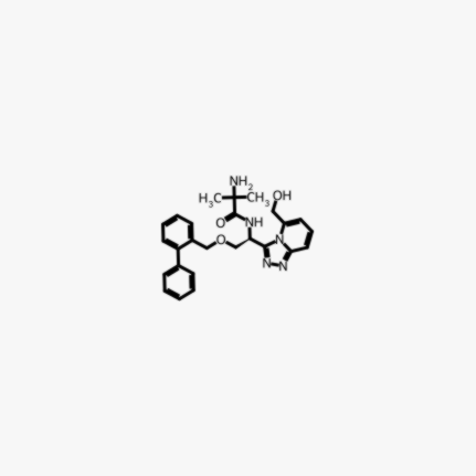 CC(C)(N)C(=O)N[C@H](COCc1ccccc1-c1ccccc1)c1nnc2cccc(CO)n12